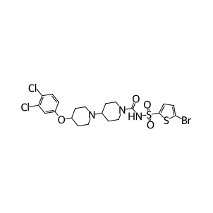 O=C(NS(=O)(=O)c1ccc(Br)s1)N1CCC(N2CCC(Oc3ccc(Cl)c(Cl)c3)CC2)CC1